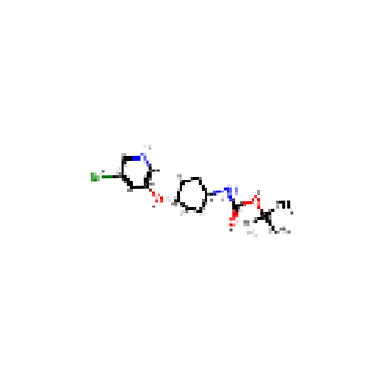 CC(C)(C)OC(=O)N[C@H]1CC[C@H](Oc2cncc(Br)c2)CC1